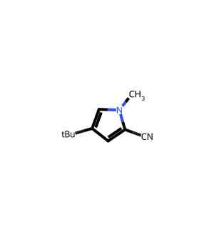 Cn1cc(C(C)(C)C)cc1C#N